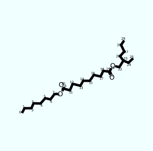 CCCCCCCCOC(=O)CCCCCCCCC(=O)OCC(CC)CCCC